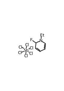 CCN1C=CC=CC1F.[Cl][Sb-]([Cl])([Cl])([Cl])([Cl])[Cl]